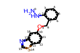 NNc1ccccc1COc1ccc2scnc2c1